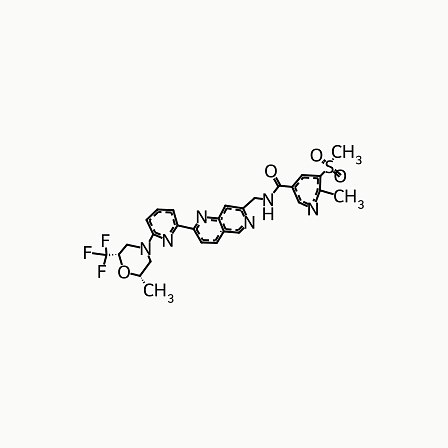 Cc1ncc(C(=O)NCc2cc3nc(-c4cccc(N5C[C@@H](C(F)(F)F)O[C@@H](C)C5)n4)ccc3cn2)cc1S(C)(=O)=O